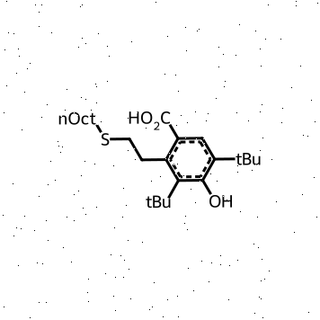 CCCCCCCCSCCc1c(C(=O)O)cc(C(C)(C)C)c(O)c1C(C)(C)C